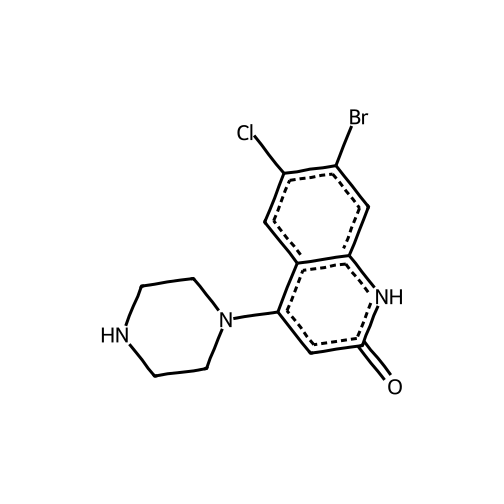 O=c1cc(N2CCNCC2)c2cc(Cl)c(Br)cc2[nH]1